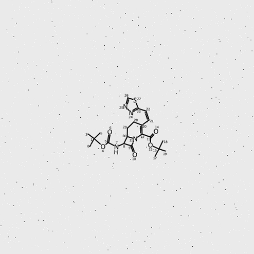 CC(C)(C)OC(=O)NC1C(=O)N2C(C(=O)OC(C)(C)C)=C(/C=C\c3nncs3)CCC12